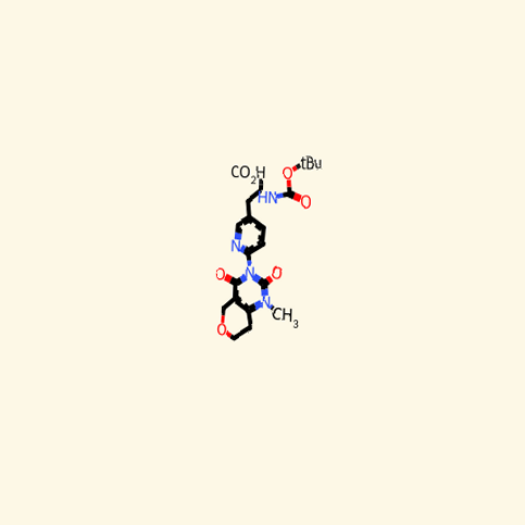 Cn1c2c(c(=O)n(-c3ccc(CC(NC(=O)OC(C)(C)C)C(=O)O)cn3)c1=O)COCC2